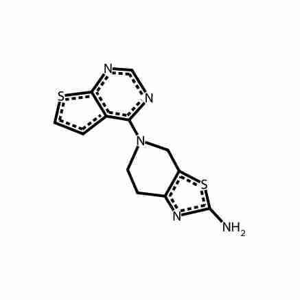 Nc1nc2c(s1)CN(c1ncnc3sccc13)CC2